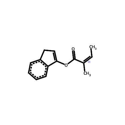 C/C=C(/C)C(=O)OC1=CCc2ccccc21